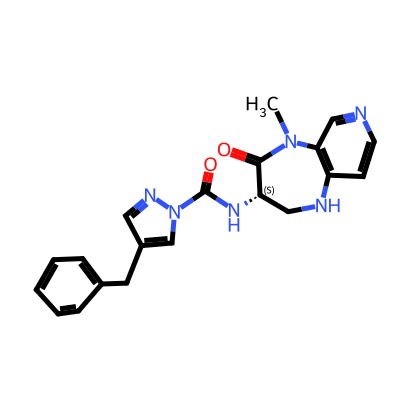 CN1C(=O)[C@@H](NC(=O)n2cc(Cc3ccccc3)cn2)CNc2ccncc21